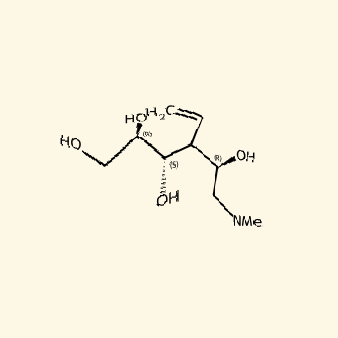 C=CC([C@@H](O)CNC)[C@H](O)[C@H](O)CO